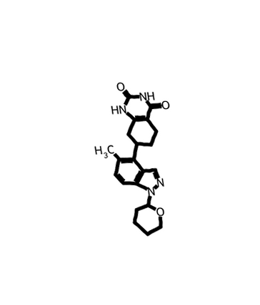 Cc1ccc2c(cnn2C2CCCCO2)c1C1CCc2c([nH]c(=O)[nH]c2=O)C1